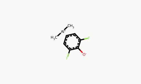 [CH3][Al+][CH3].[O-]c1c(F)cccc1F